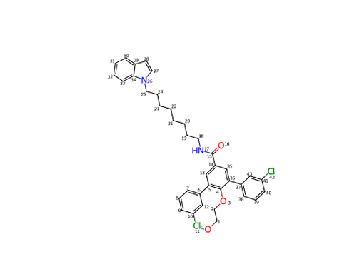 [O]CCOc1c(-c2cccc(Cl)c2)cc(C(=O)NCCCCCCCCn2ccc3ccccc32)cc1-c1cccc(Cl)c1